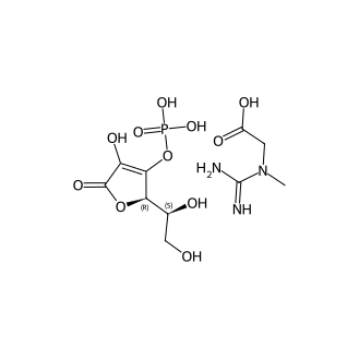 CN(CC(=O)O)C(=N)N.O=C1O[C@H]([C@@H](O)CO)C(OP(=O)(O)O)=C1O